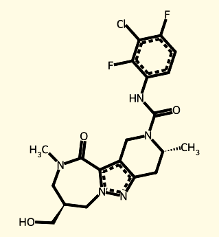 C[C@@H]1Cc2nn3c(c2CN1C(=O)Nc1ccc(F)c(Cl)c1F)C(=O)N(C)C[C@H](CO)C3